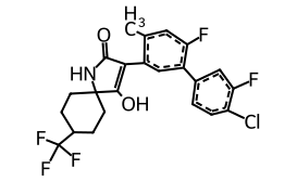 Cc1cc(F)c(-c2ccc(Cl)c(F)c2)cc1C1=C(O)C2(CCC(C(F)(F)F)CC2)NC1=O